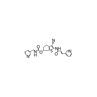 N#Cc1c(NC(=O)C=Cc2cccnc2)sc2c1CCC(OC(=O)NCc1cccnc1)C2